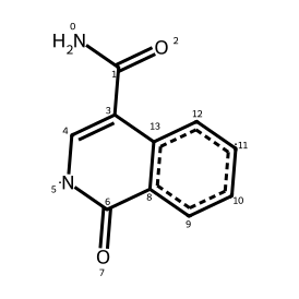 NC(=O)C1=C[N]C(=O)c2cc[c]cc21